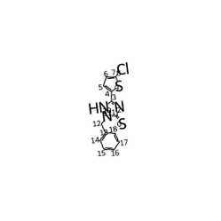 S=c1nc(-c2ccc(Cl)s2)[nH]n1Cc1ccccc1